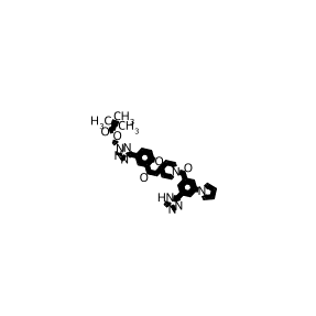 CC(C)(C)C(=O)OCn1nnc(-c2ccc3c(c2)C(=O)CC2(CCN(C(=O)c4cc(-c5nnc[nH]5)cc(N5CCCC5)c4)CC2)O3)n1